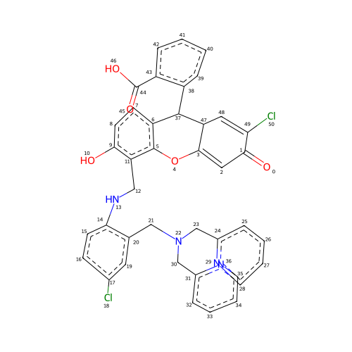 O=C1C=C2Oc3c(ccc(O)c3CNc3ccc(Cl)cc3CN(Cc3ccccn3)Cc3ccccn3)C(c3ccccc3C(=O)O)C2C=C1Cl